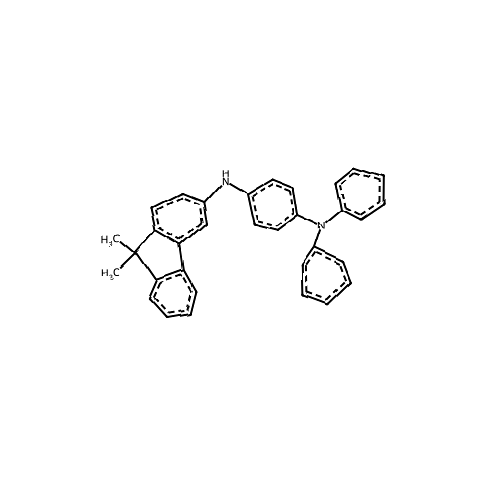 CC1(C)c2ccccc2-c2cc(Nc3ccc(N(c4ccccc4)c4ccccc4)cc3)ccc21